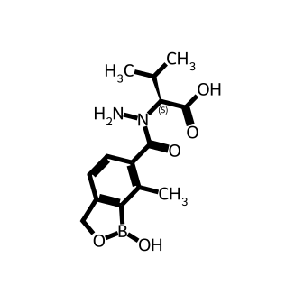 Cc1c(C(=O)N(N)[C@H](C(=O)O)C(C)C)ccc2c1B(O)OC2